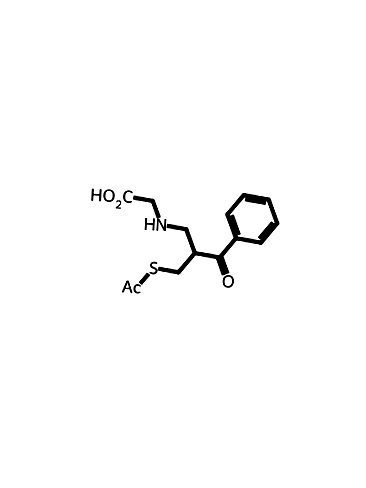 CC(=O)SCC(CNCC(=O)O)C(=O)c1ccccc1